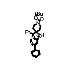 CCC(n1cnc(-c2ccccc2)cc1=O)C1(O)CCN(C(=O)OC(C)(C)C)CC1